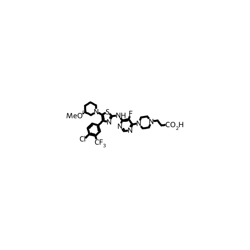 CO[C@H]1CCCN(c2sc(Nc3ncnc(N4CCN(CCC(=O)O)CC4)c3F)nc2-c2ccc(Cl)c(C(F)(F)F)c2)C1